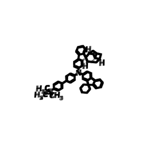 C[Si](C)(C)c1ccc(-c2ccc(N(c3ccc4c(c3)C3(CCCCC3)c3ccccc3-4)c3ccc4c(c3)[C@]3(c5ccccc5-4)[C@@H]4CC5C[C@@H]6C[C@@H]3C[C@]56C4)cc2)cc1